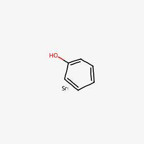 Oc1ccccc1.[Sr]